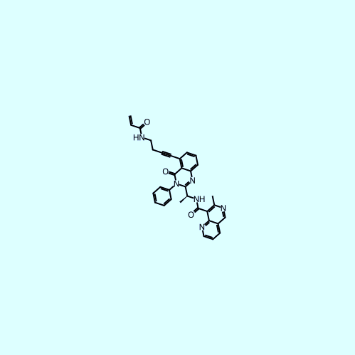 C=CC(=O)NCCC#Cc1cccc2nc([C@H](C)NC(=O)c3c(C)ncc4cccnc34)n(-c3ccccc3)c(=O)c12